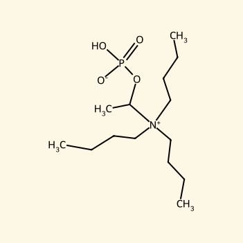 CCCC[N+](CCCC)(CCCC)C(C)OP(=O)([O-])O